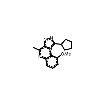 COc1cccc2nc(C)c3nnc(C4CCCC4)n3c12